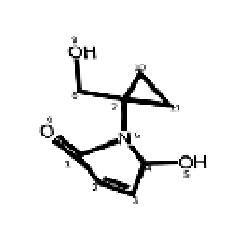 O=C1C=CC(O)N1C1(CO)CC1